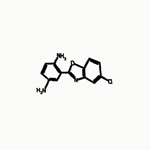 Nc1ccc(N)c(-c2nc3cc(Cl)ccc3o2)c1